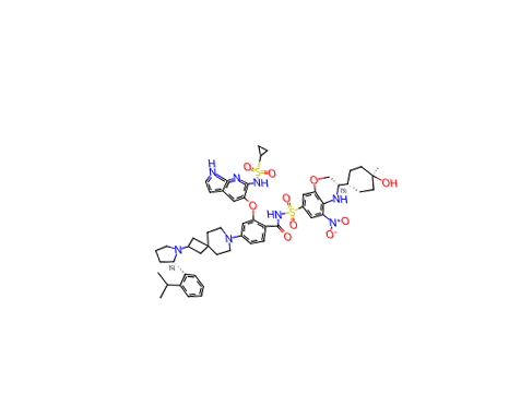 CC(C)c1ccccc1[C@@H]1CCCN1C1CC2(CCN(c3ccc(C(=O)NS(=O)(=O)c4cc5c(c([N+](=O)[O-])c4)N[C@@H]([C@H]4CC[C@](C)(O)CC4)CO5)c(Oc4cc5cc[nH]c5nc4NS(=O)(=O)C4CC4)c3)CC2)C1